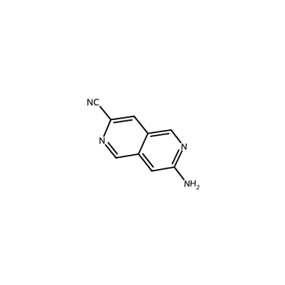 N#Cc1cc2cnc(N)cc2cn1